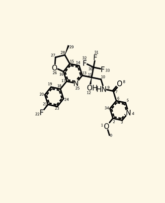 COc1cncc(C(=O)NC[C@](O)(c2cc3c(c(-c4ccc(F)cc4)n2)OC[C@H]3C)C(F)(F)F)c1